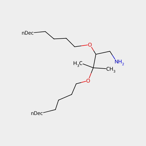 CCCCCCCCCCCCCCOC(CN)C(C)(C)OCCCCCCCCCCCCCC